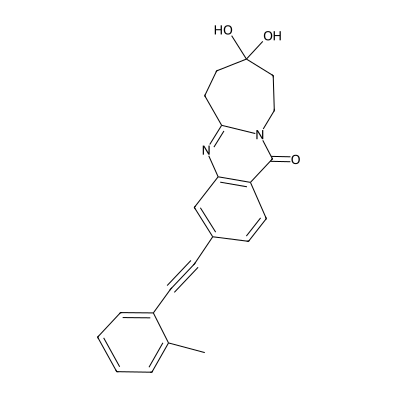 Cc1ccccc1C#Cc1ccc2c(=O)n3c(nc2c1)CCC(O)(O)CC3